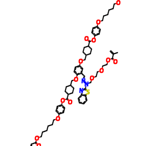 C=CC(=O)OCCCCCCOc1ccc(OC(=O)C2CCC(COc3ccc(OCC4CCC(C(=O)Oc5ccc(OCCCCCCOC(=O)C=C)cc5)CC4)c(/C=N/N(COCCOCCOC(=O)C(=C)C)c4nc5ccccc5s4)c3)CC2)cc1